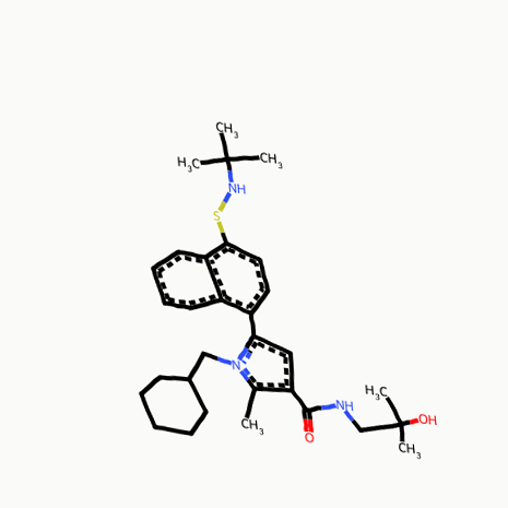 Cc1c(C(=O)NCC(C)(C)O)cc(-c2ccc(SNC(C)(C)C)c3ccccc23)n1CC1CCCCC1